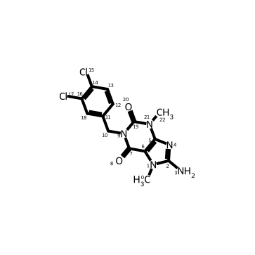 Cn1c(N)nc2c1c(=O)n(Cc1ccc(Cl)c(Cl)c1)c(=O)n2C